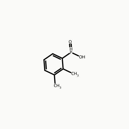 Cc1cccc([PH](=O)O)c1C